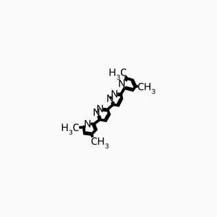 Cc1cc(C)nc(-c2ccc(-c3ccc(-c4cc(C)cc(C)n4)nn3)nn2)c1